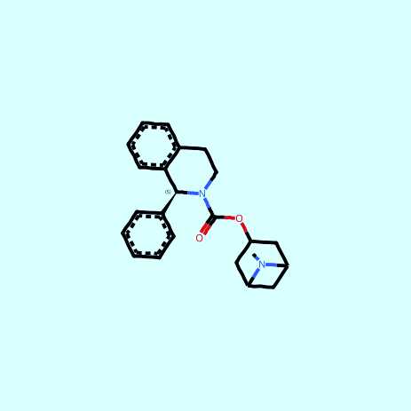 CN1C2CC(OC(=O)N3CCc4ccccc4[C@@H]3c3ccccc3)CC1C2